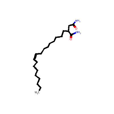 CCCCCCCC/C=C\CCCCCCCCC(CC(N)=O)C(N)=O